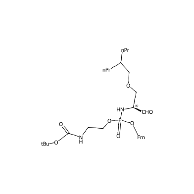 CCCC(CCC)COC[C@@H](C=O)NP(=O)([O][Fm])OCCNC(=O)OC(C)(C)C